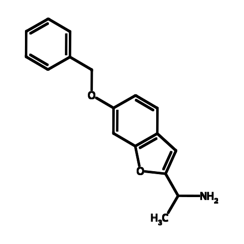 CC(N)c1cc2ccc(OCc3ccccc3)cc2o1